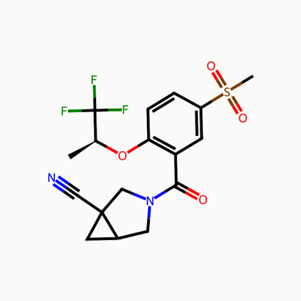 C[C@H](Oc1ccc(S(C)(=O)=O)cc1C(=O)N1CC2CC2(C#N)C1)C(F)(F)F